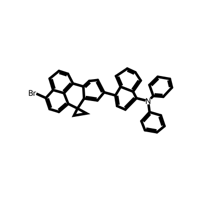 Brc1ccc2c3c(cccc13)-c1ccc(-c3ccc(N(c4ccccc4)c4ccccc4)c4ccccc34)cc1C21CC1